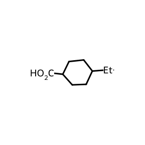 C[CH]C1CCC(C(=O)O)CC1